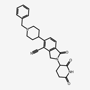 N#Cc1c(C2CCN(Cc3ccccc3)CC2)ccc2c1CN(C1CCC(=O)NC1=O)C2=O